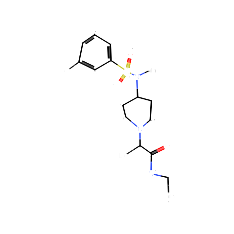 CCC(C(=O)NCC(C)C)N1CCC(N(C(C)C)S(=O)(=O)c2cccc(C(F)(F)F)c2)CC1